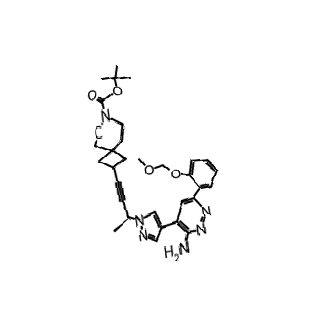 COCOc1ccccc1-c1cc(-c2cnn([C@@H](C)C#CC3CC4(CCN(C(=O)OC(C)(C)C)CC4)C3)c2)c(N)nn1